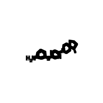 C[C@@H]1CCCC12CCN(c1cnc(Sc3cccc(N)c3)cn1)CC2